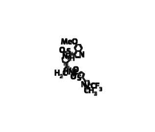 C=C[C@@H](CNS(=O)(=O)c1ccc(-c2cc(C(F)(F)F)n(C)n2)s1)[C@H]1CCN2C(=O)S[C@@H](c3ccnc4ccc(OC)cc34)[C@@H]2C1